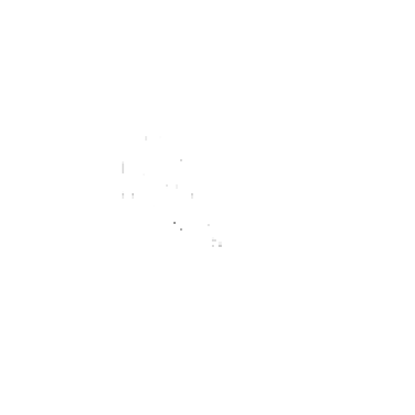 CC(C)(C)OC(=O)[C@@H](Cc1ccccc1)NC(=O)N(CC#Cc1ccccc1)N=C(c1ccccc1)c1ccccc1